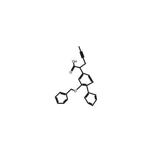 CC#CCC(C(=O)O)c1ccc(-c2ccccc2)c(OCc2ccccc2)c1